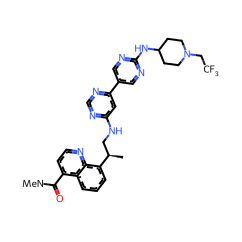 CNC(=O)c1ccnc2c([C@H](C)CNc3cc(-c4cnc(NC5CCN(CC(F)(F)F)CC5)nc4)ncn3)cccc12